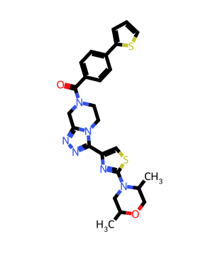 CC1CN(c2nc(-c3nnc4n3CCN(C(=O)c3ccc(-c5cccs5)cc3)C4)cs2)C(C)CO1